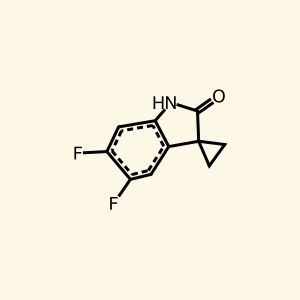 O=C1Nc2cc(F)c(F)cc2C12CC2